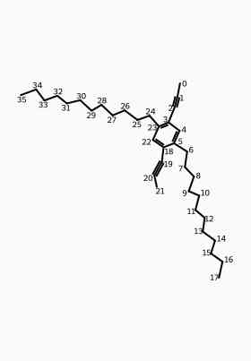 CC#Cc1cc(CCCCCCCCCCCC)c(C#CC)cc1CCCCCCCCCCCC